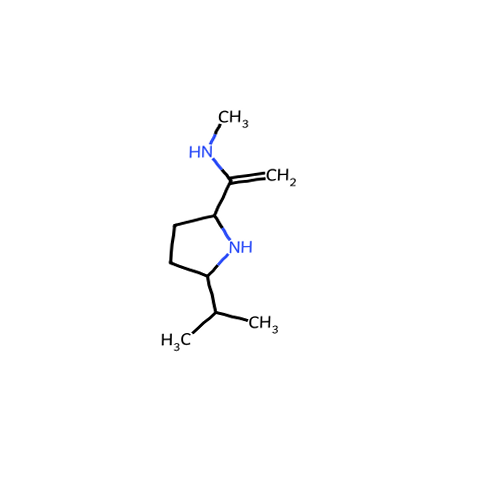 C=C(NC)C1CCC(C(C)C)N1